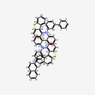 c1ccc(-c2cccc(N(c3ccccc3-c3ccccc3N(c3ccc(-c4ccc5ccccc5c4)cc3)c3cccc4sc5ccc6ccccc6c5c34)c3cccc4sc5ccccc5c34)c2)cc1